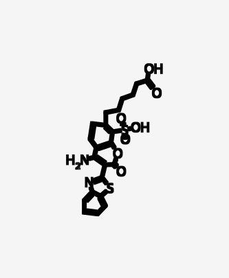 Nc1c(-c2nc3ccccc3s2)c(=O)oc2c(S(=O)(=O)O)c(CCCCCC(=O)O)ccc12